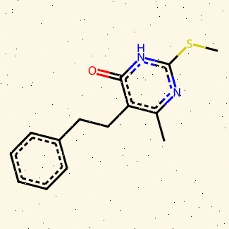 CSc1nc(C)c(CCc2ccccc2)c(=O)[nH]1